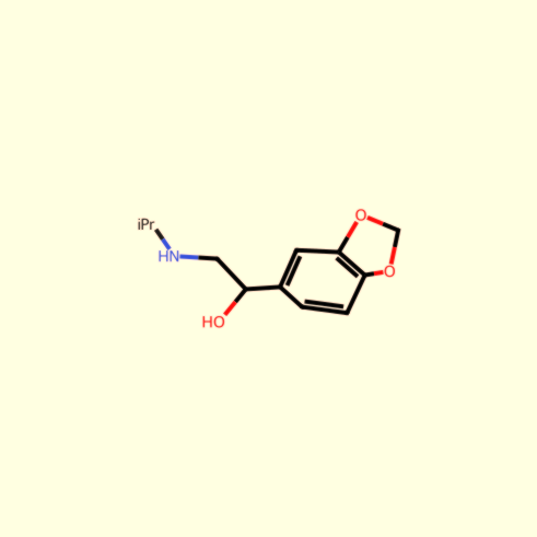 CC(C)NCC(O)c1ccc2c(c1)OCO2